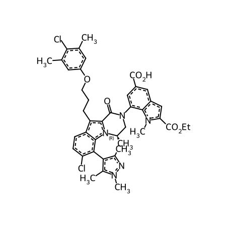 CCOC(=O)c1cc2cc(C(=O)O)cc(N3C[C@@H](C)n4c(c(CCCOc5cc(C)c(Cl)c(C)c5)c5ccc(Cl)c(-c6c(C)nn(C)c6C)c54)C3=O)c2n1C